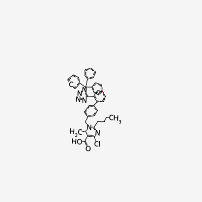 CCCCC1=NC(Cl)=C(C(=O)O)C(C)N1Cc1ccc(-c2ccccc2-c2nnnn2C(c2ccccc2)(c2ccccc2)c2ccccc2)cc1